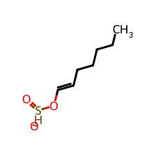 CCCCCC=CO[SH](=O)=O